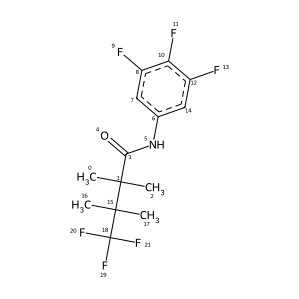 CC(C)(C(=O)Nc1cc(F)c(F)c(F)c1)C(C)(C)C(F)(F)F